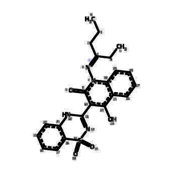 CCC/C(CC)=N/n1c(=O)c(C2=NS(=O)(=O)c3ccccc3N2)c(O)c2ccccc21